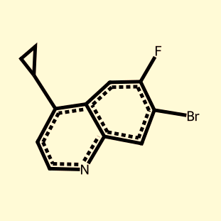 Fc1cc2c(C3CC3)ccnc2cc1Br